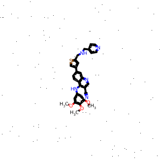 COc1cc(Nc2c(C#N)cnc3cc(-c4csc(CNCc5ccncc5)c4)ccc23)cc(OC)c1OC